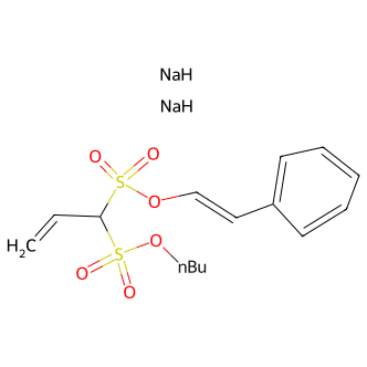 C=CC(S(=O)(=O)OC=Cc1ccccc1)S(=O)(=O)OCCCC.[NaH].[NaH]